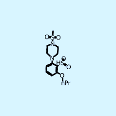 CCCOc1cccc(N2CCN(S(C)(=O)=O)CC2)c1[SH](=O)=O